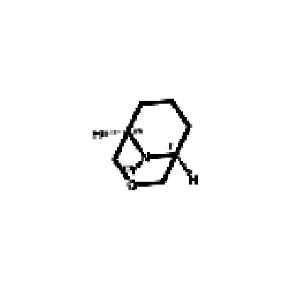 CC(C)N1[C@@H]2CCC[C@H]1COC2